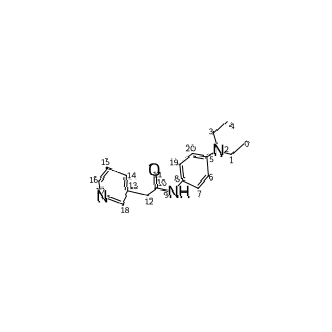 CCN(CC)c1ccc(NC(=O)Cc2cccnc2)cc1